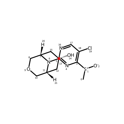 C[S+]([O-])c1nc(N2[C@@H]3COC[C@H]2C[C@@H](O)C3)ncc1Cl